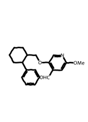 COc1cc(C=O)c(OCC2CCCCC2c2ccccc2)cn1